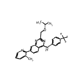 Cc1cccnc1-c1ccc2c(Nc3ccc(C(F)(F)F)cc3)nc(COC(C)C)nc2c1